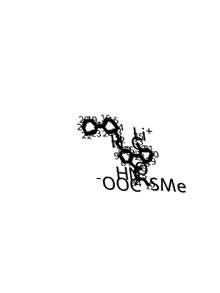 CSCC[C@H](NC(=O)c1ccc(CCc2cccc(-c3ccccc3)c2)cc1-c1ccccc1C)C(=O)[O-].[Li+]